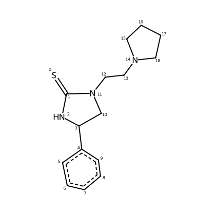 S=C1NC(c2ccccc2)CN1CCN1CCCC1